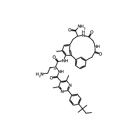 CCC(C)(C)c1ccc(-c2nc(C)c(C(=O)N[C@@H](CCN)C(=O)Nc3c(C)cc4cc3-c3cccc(c3)CC(=O)NCC(=O)NC(C(N)=O)C4)c(C)n2)cc1